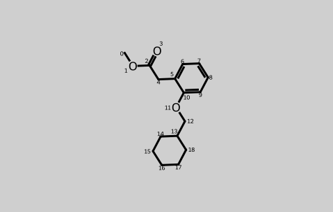 COC(=O)Cc1ccccc1OCC1CCCCC1